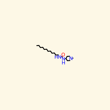 CCCCCCCCCCCCNC(=O)NC1CCN(C)CC1